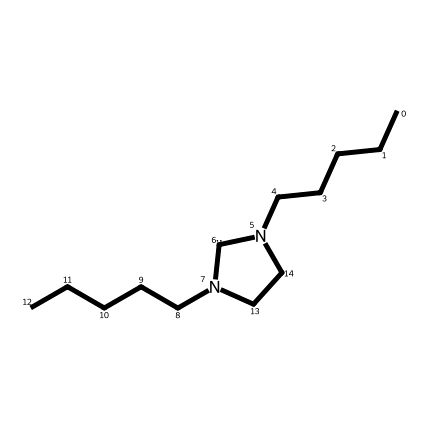 CCCCCN1[C]N(CCCCC)CC1